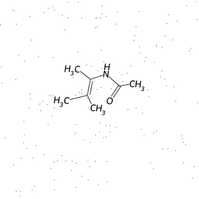 CC(=O)NC(C)=C(C)C